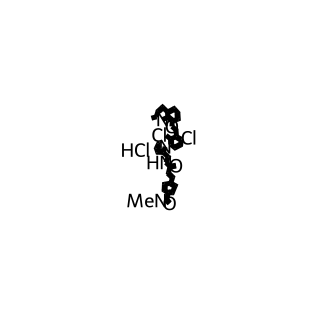 CNC(=O)c1ccc(C=CC(=O)NCc2cccn2-c2ccc(Cl)c(COc3cccc4ccc(C)nc34)c2Cl)cc1.Cl